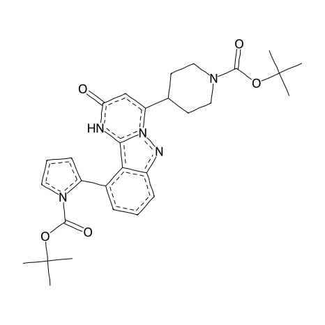 CC(C)(C)OC(=O)N1CCC(c2cc(=O)[nH]c3c4c(-c5cccn5C(=O)OC(C)(C)C)cccc4nn23)CC1